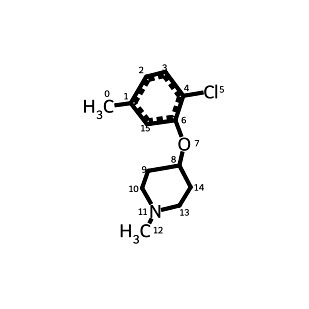 Cc1ccc(Cl)c(OC2CCN(C)CC2)c1